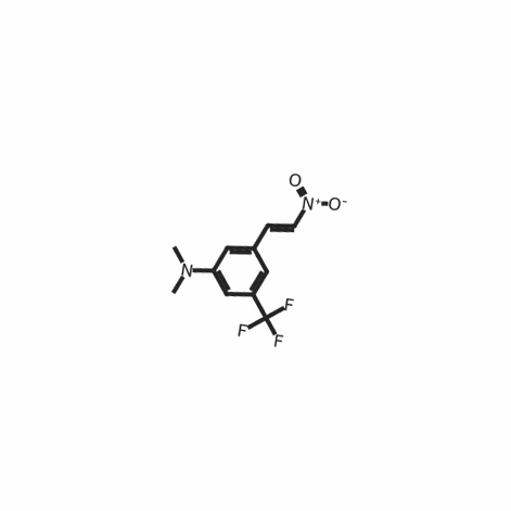 CN(C)c1cc(C=C[N+](=O)[O-])cc(C(F)(F)F)c1